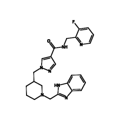 O=C(NCc1ncccc1F)c1cnn(CC2CCCN(Cc3nc4ccccc4[nH]3)C2)c1